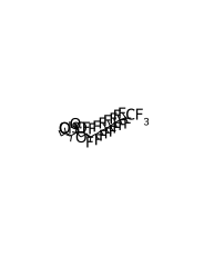 CC(=C1CCO1)C(OC(F)=C(F)C(F)(F)C(F)(F)C(F)(F)C(F)(F)C(F)(F)C(F)(F)C(F)(F)C(F)(F)F)S(=O)(=O)Cl